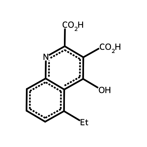 CCc1cccc2nc(C(=O)O)c(C(=O)O)c(O)c12